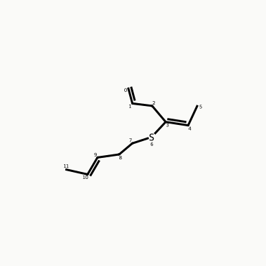 C=CC/C(=C\C)SCCC=CC